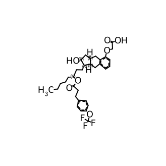 CCCCC[C@@H](CC[C@@H]1[C@H]2Cc3cccc(OCC(=O)O)c3C[C@H]2C[C@H]1O)OC(=O)CCc1ccc(OC(F)(F)F)cc1